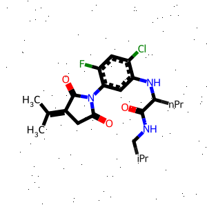 CCCC(Nc1cc(N2C(=O)CC(=C(C)C)C2=O)c(F)cc1Cl)C(=O)NCC(C)C